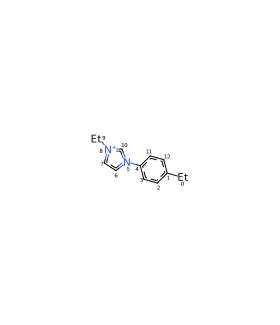 CCc1ccc(-n2cc[n+](CC)c2)cc1